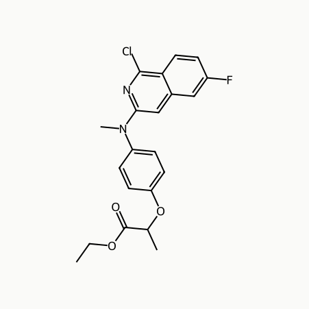 CCOC(=O)C(C)Oc1ccc(N(C)c2cc3cc(F)ccc3c(Cl)n2)cc1